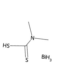 CN(C)C(=S)S.[BiH3]